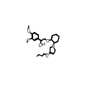 CCCCO[C@@H]1CCN(C2CCCCC2OCC(O)c2ccc(OC)c(OC)c2)C1